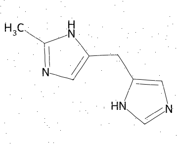 Cc1ncc(Cc2cnc[nH]2)[nH]1